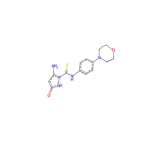 Nc1cc(=O)[nH]n1C(=S)Nc1ccc(N2CCOCC2)cc1